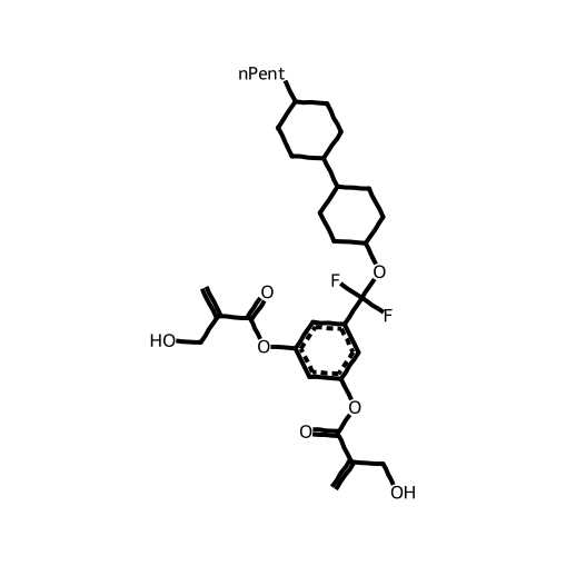 C=C(CO)C(=O)Oc1cc(OC(=O)C(=C)CO)cc(C(F)(F)OC2CCC(C3CCC(CCCCC)CC3)CC2)c1